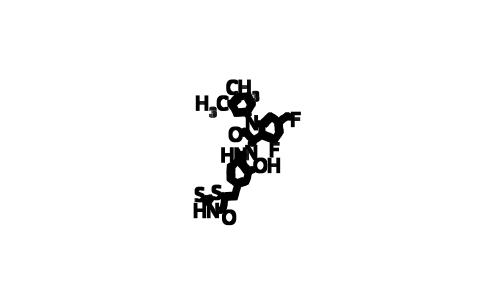 Cc1ccc(N2C(=O)/C(=N\Nc3ccc(/C=C4\SC(=S)NC4=O)cc3O)c3c(F)cc(CF)cc32)cc1C